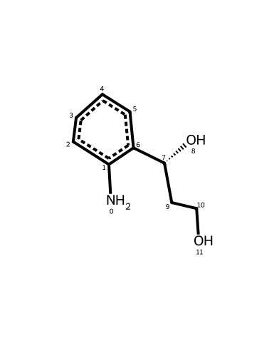 Nc1ccccc1[C@H](O)CCO